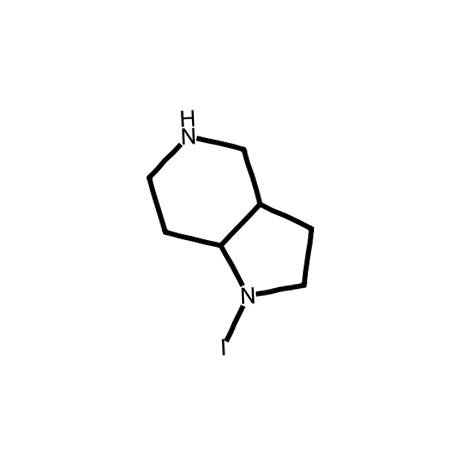 IN1CCC2CNCCC21